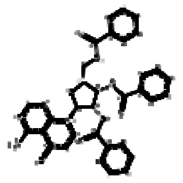 Nc1ncnc2c1c(=O)ccn2[C@H]1O[C@@H](COC(=O)c2ccccc2)[C@H](OC(=O)c2ccccc2)[C@@H]1OC(=O)c1ccccc1